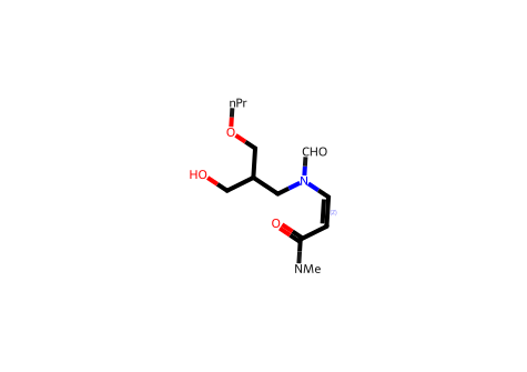 CCCOCC(CO)CN(C=O)/C=C\C(=O)NC